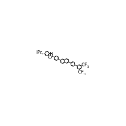 CC(C)Cc1ccc2nc(-c3ccc(-c4ccc5cc(-c6ccc(-c7cc(C(F)(F)F)cc(C(F)(F)F)c7)cc6)ccc5c4)cc3)oc2c1